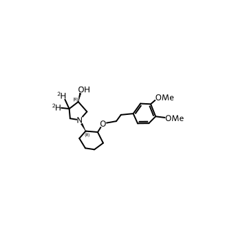 [2H]C1([2H])CN([C@@H]2CCCCC2OCCc2ccc(OC)c(OC)c2)C[C@@H]1O